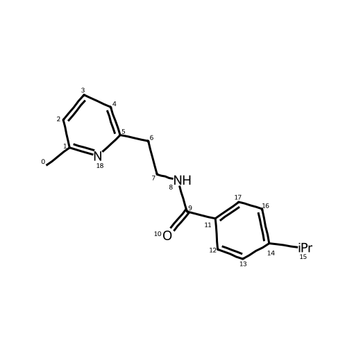 Cc1cccc(CCNC(=O)c2ccc(C(C)C)cc2)n1